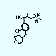 C[C@H](COS(C)(=O)=O)C(O)c1ccc(OC2CCOCC2)c(Cl)c1